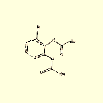 CCCCC(=O)Oc1cccc(Br)c1OC(=O)CCCC